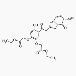 CCOC(=O)COc1cc(O)c(C(=O)CN2C=C3C=CC(C#N)C(=O)C3C2)cc1OCC(=O)OCC